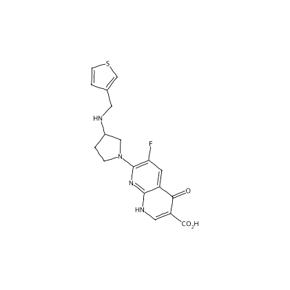 O=C(O)c1c[nH]c2nc(N3CCC(NCc4ccsc4)C3)c(F)cc2c1=O